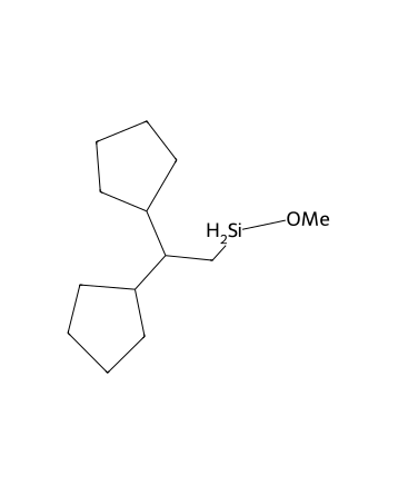 CO[SiH2]CC(C1CCCC1)C1CCCC1